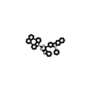 c1ccc(-n2c3cc(-c4nc(-n5c6cccc7c6c6c(cccc65)-c5cccc6cccc-7c56)nc5sc6ccccc6c45)ccc3c3cc4ccccc4cc32)cc1